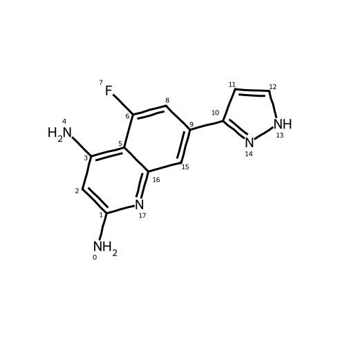 Nc1cc(N)c2c(F)cc(-c3cc[nH]n3)cc2n1